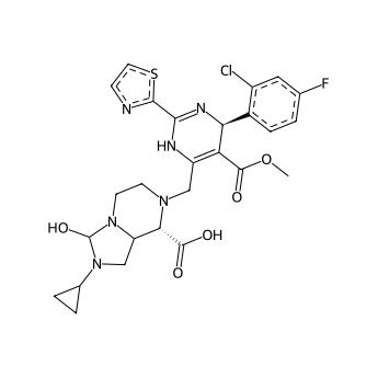 COC(=O)C1=C(CN2CCN3C(CN(C4CC4)C3O)[C@H]2C(=O)O)NC(c2nccs2)=N[C@H]1c1ccc(F)cc1Cl